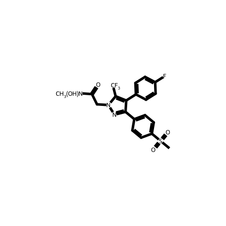 CN(O)C(=O)Cn1nc(-c2ccc(S(C)(=O)=O)cc2)c(-c2ccc(F)cc2)c1C(F)(F)F